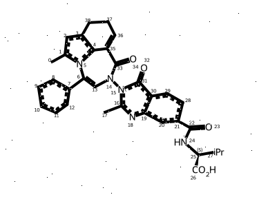 Cc1cc2c3n1C(c1ccccc1)=CN(n1c(C)nc4cc(C(=O)N[C@H](C(=O)O)C(C)C)ccc4c1=O)C(=O)C3=CCC2